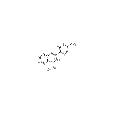 O=[N+]([O-])c1ccc(C(=Cc2ccccc2)NCCO)cc1